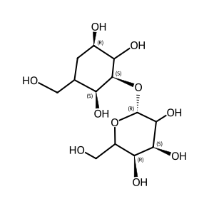 OCC1O[C@H](O[C@@H]2C(O)[C@H](O)CC(CO)[C@@H]2O)C(O)[C@@H](O)[C@H]1O